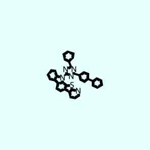 c1ccc(-c2ccc(-c3nc(-c4ccccc4)nc(-n4c5ccccc5c5ccc6c7cccnc7sc6c54)n3)cc2)cc1